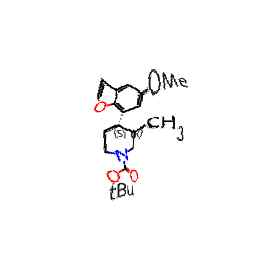 COc1cc([C@H]2CCN(C(=O)OC(C)(C)C)C[C@@H]2C)c2occc2c1